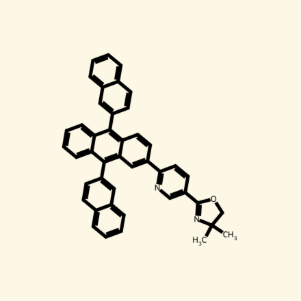 CC1(C)COC(c2ccc(-c3ccc4c(-c5ccc6ccccc6c5)c5ccccc5c(-c5ccc6ccccc6c5)c4c3)nc2)=N1